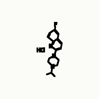 CC(C)N1CCN(c2ccc3cc(F)ccc3n2)CC1.Cl